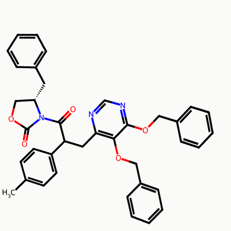 Cc1ccc(C(Cc2ncnc(OCc3ccccc3)c2OCc2ccccc2)C(=O)N2C(=O)OC[C@@H]2Cc2ccccc2)cc1